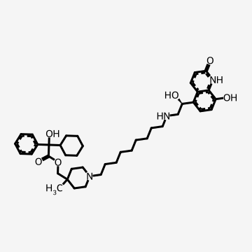 CC1(COC(=O)C(O)(c2ccccc2)C2CCCCC2)CCN(CCCCCCCCCNC[C@@H](O)c2ccc(O)c3[nH]c(=O)ccc23)CC1